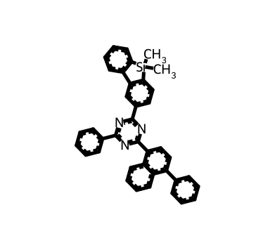 C[Si]1(C)c2ccccc2-c2cc(-c3nc(-c4ccccc4)nc(-c4ccc(-c5ccccc5)c5ccccc45)n3)ccc21